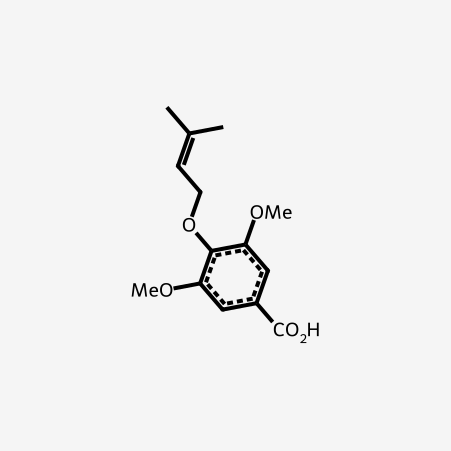 COc1cc(C(=O)O)cc(OC)c1OCC=C(C)C